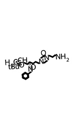 CC(C)(C)[Si](C)(C)OCCCC(CCN1CCN(CCCN)C(=O)C1)O/N=C/c1ccccc1